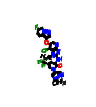 Cn1cc(-n2cc(C(F)(F)F)cc(Nc3nc4ncc(Oc5cnn6cc(F)ccc56)c(Cl)c4n3C)c2=O)cn1